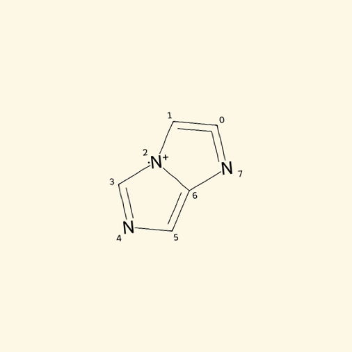 C1=C[N+]2C=NC=C2N=1